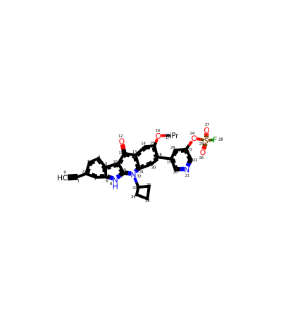 C#Cc1ccc2c(c1)[nH]c1c2c(=O)c2cc(OC(C)C)c(-c3cncc(OS(=O)(=O)F)c3)cc2n1C1CCC1